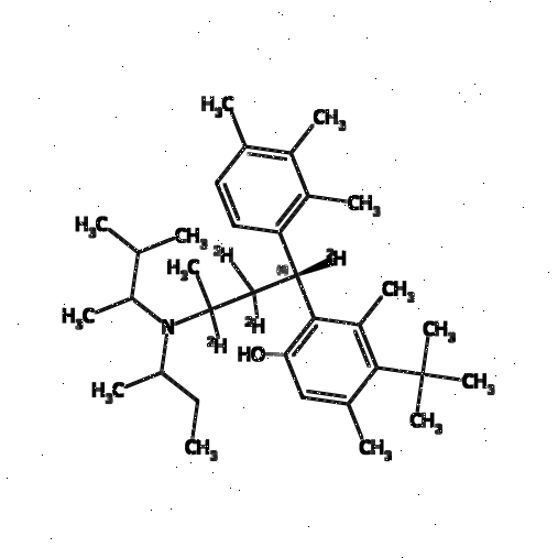 [2H]C(C)(N(C(C)CC)C(C)C(C)C)C([2H])([2H])[C@]([2H])(c1ccc(C)c(C)c1C)c1c(O)cc(C)c(C(C)(C)C)c1C